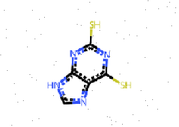 Sc1nc(S)c2nc[nH]c2n1